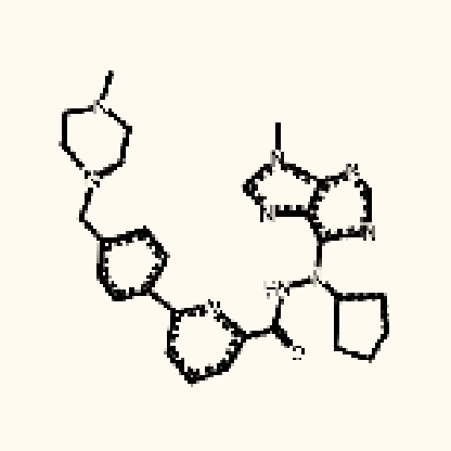 CN1CCN(Cc2ccc(-c3cccc(C(=O)NN(c4ncnc5c4ncn5C)C4CCCC4)n3)cc2)CC1